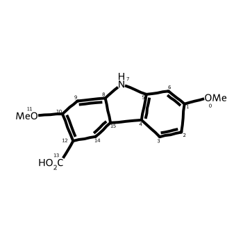 COc1ccc2c(c1)[nH]c1cc(OC)c(C(=O)O)cc12